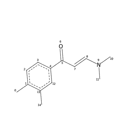 Cc1ccc(C(=O)C=CN(C)C)cc1C